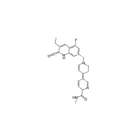 CCC1=Cc2c(F)cc(CN3C=CC(=C4C=CC(C(=O)NC)N=C4)CC3)cc2NC1=C=O